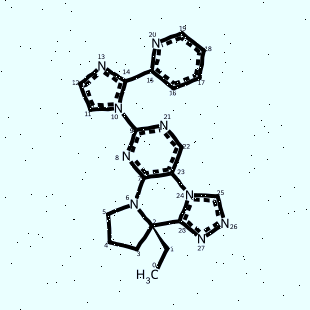 CC[C@@]12CCCN1c1nc(-n3ccnc3-c3ccccn3)ncc1-n1cnnc12